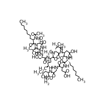 C=CCCC(NC(=O)[C@@H](CO)NC(=O)C(CC(C)C)NC(=O)[C@@H](CO)NC(=O)C(CCCCCCCC)NC(C)=O)C(=O)N(C)[C@H](CC(C)C)C(=O)NC(CC(=O)O)C(=O)N[C@H](CCCCCCCC)C(=O)NC(CC(=O)O)C(=O)NCC(=O)NC(CC(C)C)C(N)=O